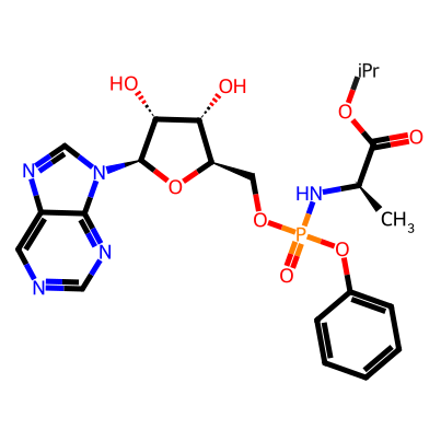 CC(C)OC(=O)[C@@H](C)NP(=O)(OC[C@H]1O[C@@H](n2cnc3cncnc32)[C@H](O)[C@@H]1O)Oc1ccccc1